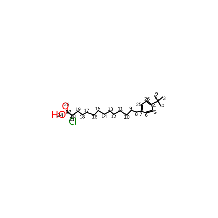 CC(C)(C)c1ccc(CCCCCCCCCCCCC(Cl)C(=O)O)cc1